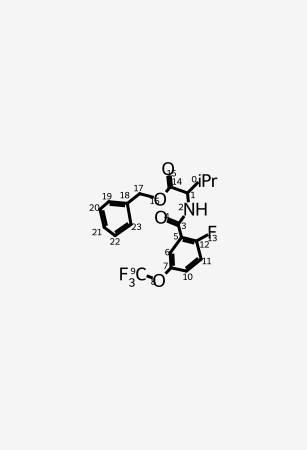 CC(C)C(NC(=O)c1cc(OC(F)(F)F)ccc1F)C(=O)OCc1ccccc1